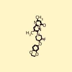 Cc1cc(=O)n2nc(N3CC[C@H](Oc4ccc5c(c4)OCCO5)[C@H](F)C3)c(C)cc2n1